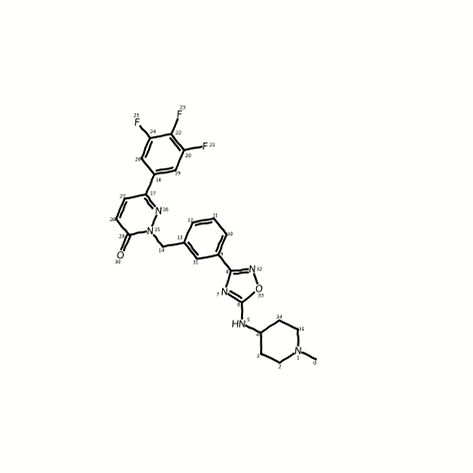 CN1CCC(Nc2nc(-c3cccc(Cn4nc(-c5cc(F)c(F)c(F)c5)ccc4=O)c3)no2)CC1